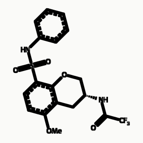 COc1ccc(S(=O)(=O)Nc2ccccc2)c2c1C[C@@H](NC(=O)C(F)(F)F)CO2